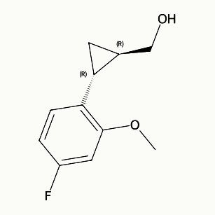 COc1cc(F)ccc1[C@@H]1C[C@H]1CO